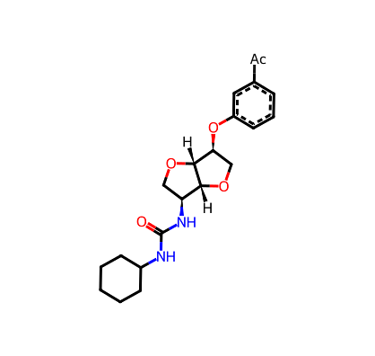 CC(=O)c1cccc(O[C@H]2CO[C@H]3[C@@H]2OC[C@@H]3NC(=O)NC2CCCCC2)c1